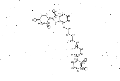 O=C1CCC(N2Cc3c(CCCCCCN4CCN(c5cccc(Cl)c5Cl)CC4)cccc3C2=O)C(=O)N1